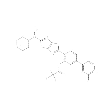 Cc1cc(-c2cnc(-c3nc4sc(N(C)C5CCNCC5)nc4s3)c(OC(=O)C(F)(F)F)c2)cnn1